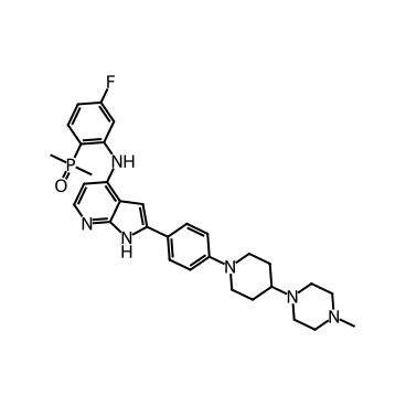 CN1CCN(C2CCN(c3ccc(-c4cc5c(Nc6cc(F)ccc6P(C)(C)=O)ccnc5[nH]4)cc3)CC2)CC1